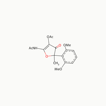 COc1cccc(OC)c1C1(C)OC(NC(C)=O)=C(OC(C)=O)C1=O